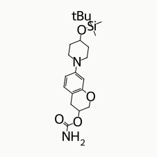 CC(C)(C)[Si](C)(C)OC1CCN(c2ccc3c(c2)OCC(OC(N)=O)C3)CC1